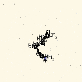 [H]/N=C(/N)c1ccc2oc(C=CC3CN(CC)CC3CNc3cc(C)nc(NC(=S)Nc4ccc(C(F)(F)F)c(Cl)c4)n3)cc2c1